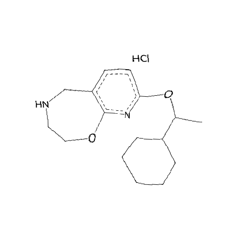 CC(Oc1ccc2c(n1)OCCNC2)C1CCCCC1.Cl